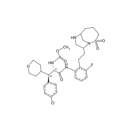 COC(=O)N[C@H](C(=O)Nc1cccc(F)c1CCC1CNC2CCCS(=O)(=O)N1C2)[C@@H](c1ccc(Cl)cc1)C1CCOCC1